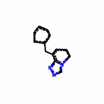 c1ccc(Cc2cccn3cnnc23)cc1